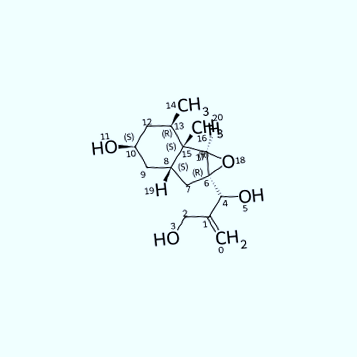 C=C(CO)C(O)[C@]12C[C@@H]3C[C@@H](O)C[C@@H](C)[C@]3(C)[C@H]1O2